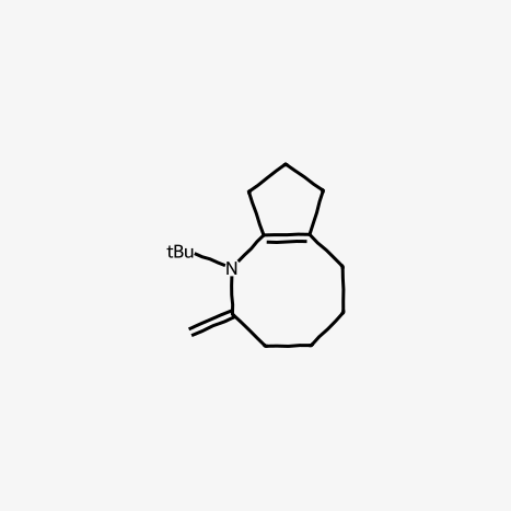 C=C1CCCCC2=C(CCC2)N1C(C)(C)C